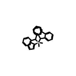 [CH3][Zr]([CH3])([C]1=CC=CC1)([CH](c1ccccc1)c1ccccc1)[CH]1c2ccccc2-c2ccccc21